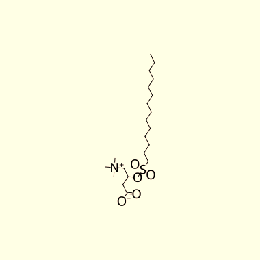 CCCCCCCCCCCCCCS(=O)(=O)OC(CC(=O)[O-])C[N+](C)(C)C